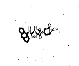 CN1CCN(S(=O)(=O)c2nnc(Nc3c4c(cc5c3CCC5)CCC4)[nH]2)CC1=O